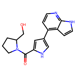 O=C(c1cc(-c2ccnc3[nH]ccc23)c[nH]1)N1CCCC1CO